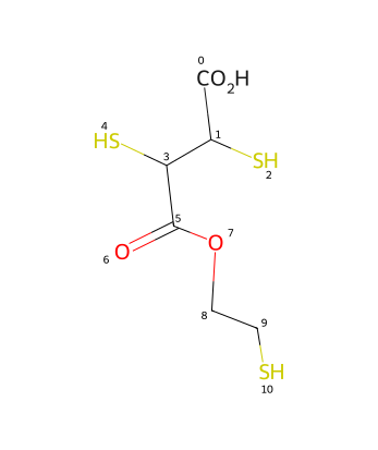 O=C(O)C(S)C(S)C(=O)OCCS